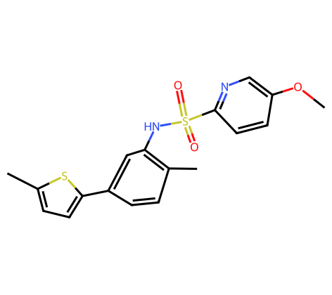 COc1ccc(S(=O)(=O)Nc2cc(-c3ccc(C)s3)ccc2C)nc1